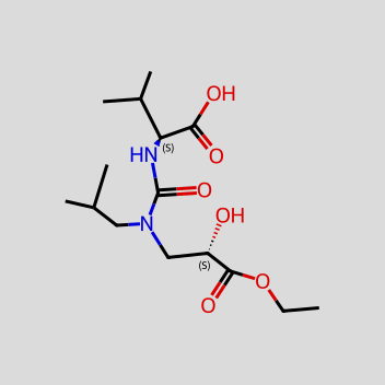 CCOC(=O)[C@@H](O)CN(CC(C)C)C(=O)N[C@H](C(=O)O)C(C)C